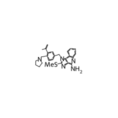 C=C(C)c1cc(Cn2c(SC)nc3c(N)nc4ccccc4c32)ccc1CN1CCCC1